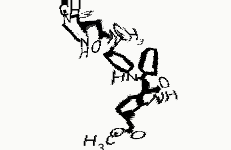 COC(=O)c1ccc2c(c1)NC(=O)C2=C(Nc1ccc(N(C)C(=O)CC2CN(C)CCN2)cc1)c1ccccc1